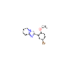 COc1ccc(Br)cc1-c1cn2ccccc2n1